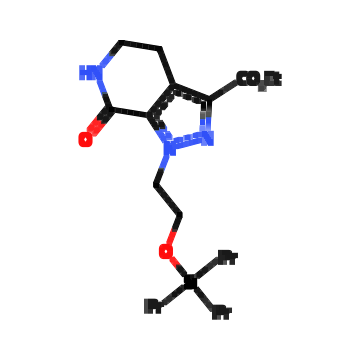 CCOC(=O)c1nn(CCO[Si](C(C)C)(C(C)C)C(C)C)c2c1CCNC2=O